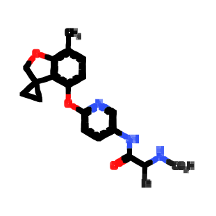 CCC(NC(=O)O)C(=O)Nc1ccc(Oc2ccc(C)c3c2C2(CC2)CO3)nc1